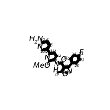 COc1nc(-c2ccc(N)nc2)ccc1NC(=O)c1c(-c2ccc(F)cc2)noc1C